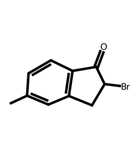 Cc1ccc2c(c1)CC(Br)C2=O